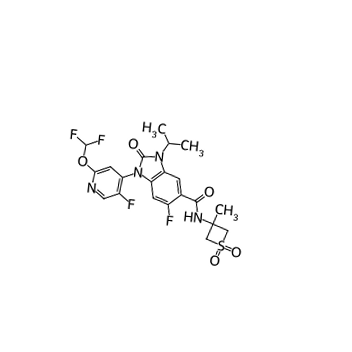 CC(C)n1c(=O)n(-c2cc(OC(F)F)ncc2F)c2cc(F)c(C(=O)NC3(C)CS(=O)(=O)C3)cc21